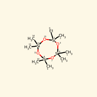 [CH2]C[Si]1(C)O[Si](C)(C)O[Si](C)(C)O[Si](C)(C)O1